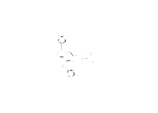 Cc1cc(NC2=NC(CCC(N)CO)=CN3C2=NCC3c2cnn(C)c2)sn1